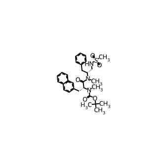 CN(C(=O)[C@@H](Cc1ccc2ccccc2c1)N(C)C(=O)OC(C)(C)C)[C@@H](CNS(C)(=O)=O)Cc1ccccc1